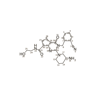 N#Cc1ccccc1Cn1c(N2CCCC(N)C2)nc2c(C(=O)NCCO)csc2c1=O